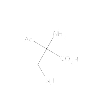 CC(=O)C(N)(CS)C(=O)O